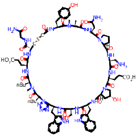 CCCC[C@H]1C(=O)N[C@@H](CCC(=O)O)C(=O)N[C@H](C(=O)NCC(N)=O)CSCC(=O)N[C@@H](Cc2ccc(O)cc2)C(=O)N(C)[C@@H](C)C(=O)N[C@@H](CC(N)=O)C(=O)N2CCC[C@H]2C(=O)N[C@@H](CN)C(=O)N[C@@H](CCC(=O)O)C(=O)N2C[C@H](O)C[C@H]2C(=O)N[C@@H](Cc2c[nH]c3ccccc23)C(=O)N[C@@H](CO)C(=O)N[C@@H](Cc2c[nH]c3ccccc23)c2nnnn2[C@@H](CCCC)C(=O)N1C